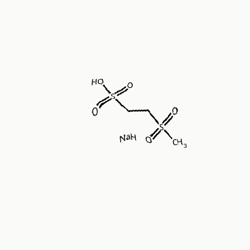 CS(=O)(=O)CCS(=O)(=O)O.[NaH]